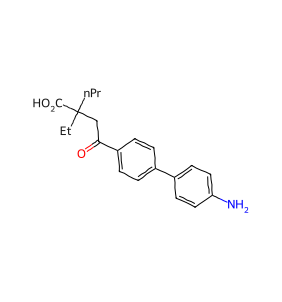 CCCC(CC)(CC(=O)c1ccc(-c2ccc(N)cc2)cc1)C(=O)O